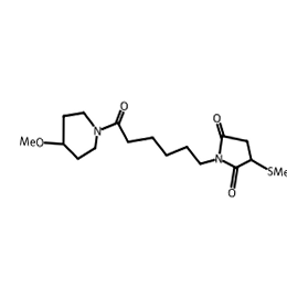 COC1CCN(C(=O)CCCCCN2C(=O)CC(SC)C2=O)CC1